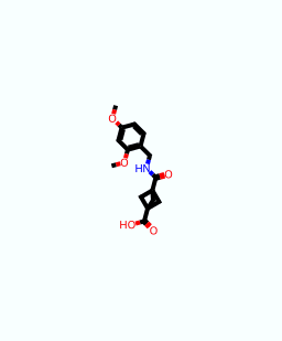 COc1ccc(CNC(=O)C23CC(C(=O)O)(C2)C3)c(OC)c1